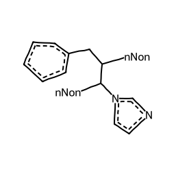 CCCCCCCCCC(Cc1ccccc1)C(CCCCCCCCC)n1ccnc1